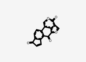 O=C1C=Cc2c1ccc1c2C(=O)c2occ3c(=O)occ-1c23